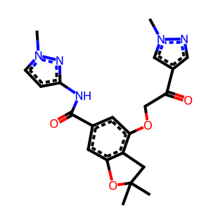 Cn1cc(C(=O)COc2cc(C(=O)Nc3ccn(C)n3)cc3c2CC(C)(C)O3)cn1